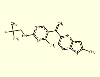 C=C(c1ccc2nc(C)cn2n1)c1cnc(NCC(C)(C)F)nc1C